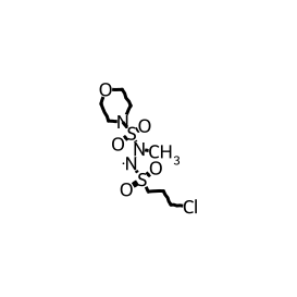 CN([N]S(=O)(=O)CCCCl)S(=O)(=O)N1CCOCC1